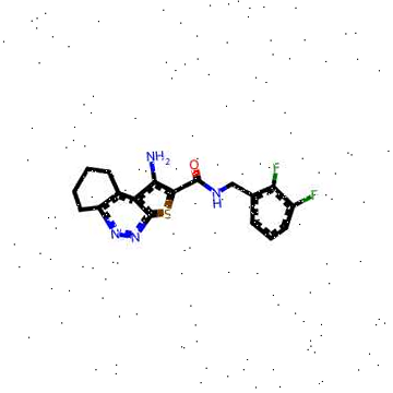 Nc1c(C(=O)NCc2cccc(F)c2F)sc2nnc3c(c12)CCCC3